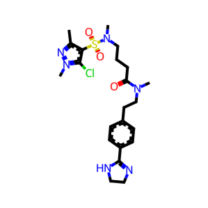 Cc1nn(C)c(Cl)c1S(=O)(=O)N(C)CCCC(=O)N(C)CCc1ccc(C2=NCCN2)cc1